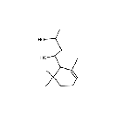 CC1=CCCC(C)(C)C1C(O)CC(C)O